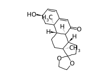 C[C@]12C[C@@H](O)C=CC1=CC(=O)[C@@H]1[C@@H]2CC[C@@]2(C)[C@H]1CCC21OCCO1